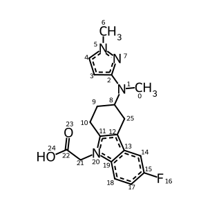 CN(c1ccn(C)n1)C1CCc2c(c3cc(F)ccc3n2CC(=O)O)C1